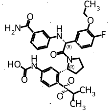 CCOc1cc([C@@H](Nc2cccc(C(N)=O)c2)C(=O)N2CCC[C@@H]2c2cc(NC(=O)O)ccc2S(=O)(=O)C(C)C)ccc1F